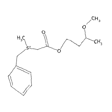 COC(C)CCOC(=O)C[S+](C)Cc1ccccc1